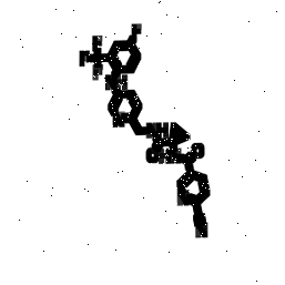 N#Cc1ccc(C(=O)NC2(C(=O)NCc3ccc(Nc4ccc(F)cc4C(F)(F)F)cn3)CC2)cn1